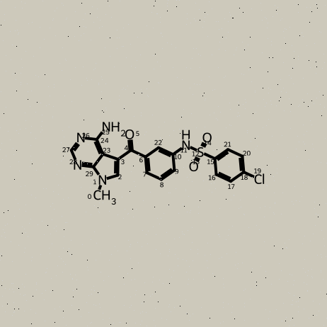 Cn1cc(C(=O)c2cccc(NS(=O)(=O)c3ccc(Cl)cc3)c2)c2c(N)ncnc21